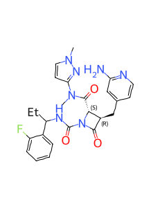 CCC(NC(=O)N1C(=O)[C@H](Cc2ccnc(N)c2)[C@H]1C(=O)N(C)c1ccn(C)n1)c1ccccc1F